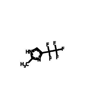 Cc1nc(C(F)(F)C(F)(F)F)c[nH]1